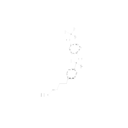 CCCCCc1ccc(C(F)(F)Oc2ccc(OC(F)(F)F)cc2)cc1